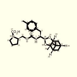 Cc1ccc(C[C@H](NC(=O)OC[C@H]2CCCN2C(=O)O)B2O[C@@H]3C[C@@H]4C[C@@H](C4(C)C)[C@]3(C)O2)cc1